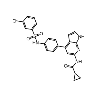 O=C(Nc1cc(-c2ccc(NS(=O)(=O)c3cccc(Cl)c3)cc2)c2cc[nH]c2n1)C1CC1